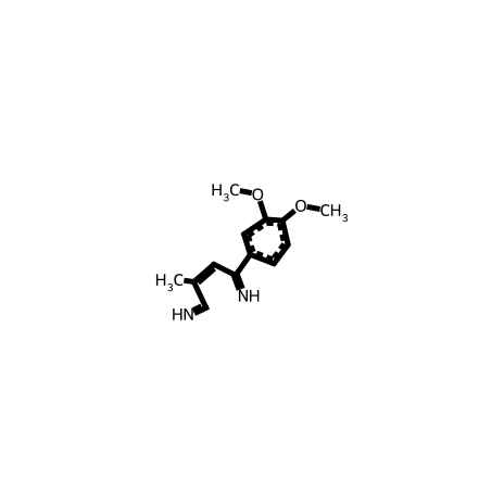 COc1ccc(C(=N)/C=C(/C)C=N)cc1OC